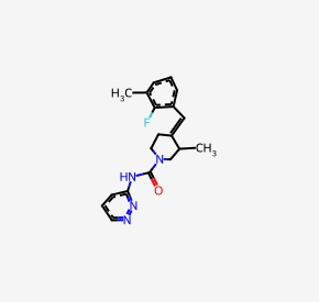 Cc1cccc(C=C2CCN(C(=O)Nc3cccnn3)CC2C)c1F